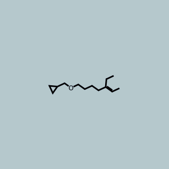 C/C=C(\CC)CCCCOCC1CC1